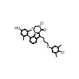 Cc1cc(OCCCc2c3n(c4c(-c5c(C)cc(O)cc5C)cccc24)[C@H](C)CN(Cl)C3=O)cc(C)c1Cl